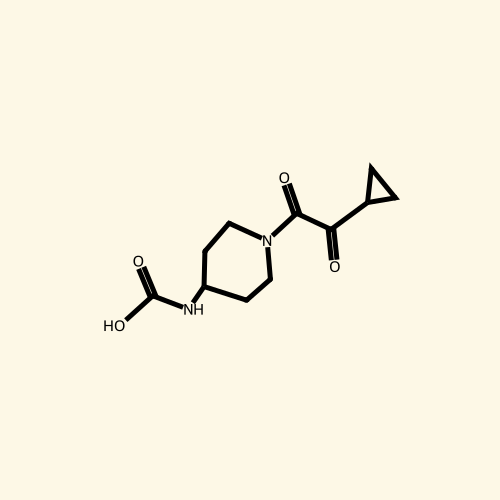 O=C(O)NC1CCN(C(=O)C(=O)C2CC2)CC1